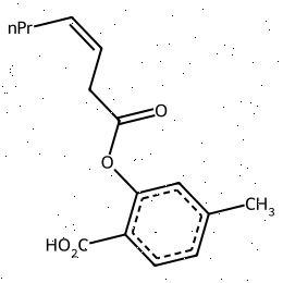 CCC/C=C\CC(=O)Oc1cc(C)ccc1C(=O)O